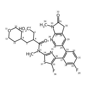 CN(C(=O)C(CC(=O)O)CC1CCOCC1)c1nc(-c2cc(F)ccc2-c2cnc3c(c2)CC(=O)N3C)c(F)s1